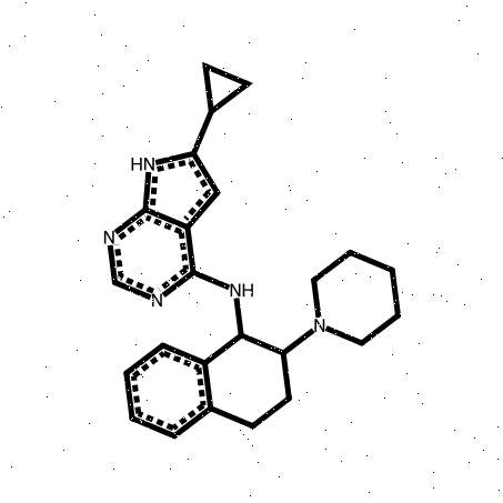 c1ccc2c(c1)CCC(N1CCCCC1)C2Nc1ncnc2[nH]c(C3CC3)cc12